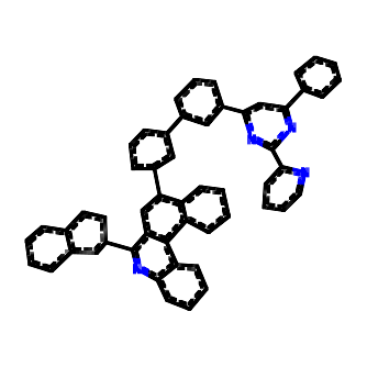 c1ccc(-c2cc(-c3cccc(-c4cccc(-c5cc6c(-c7ccc8ccccc8c7)nc7ccccc7c6c6ccccc56)c4)c3)nc(-c3ccccn3)n2)cc1